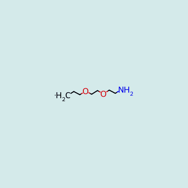 [CH2]CCOCCOCCN